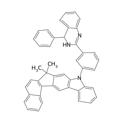 CC1(C)c2cc3c(cc2-c2c1ccc1ccccc21)c1ccccc1n3-c1cccc(C2=Nc3ccccc3C(c3ccccc3)N2)c1